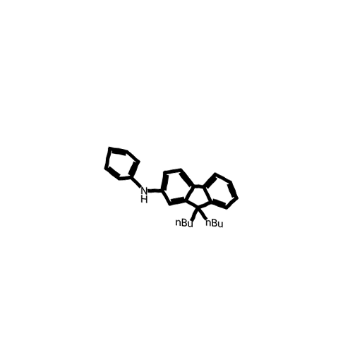 CCCCC1(CCCC)c2ccccc2-c2ccc(Nc3ccccc3)cc21